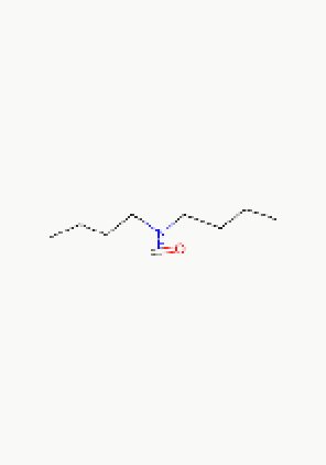 C=O.CCCCNCCCC